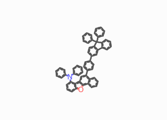 c1ccc(N(c2ccccc2)c2cccc3oc4c5ccccc5c(-c5ccc(-c6ccc7c(c6)-c6ccccc6C7(c6ccccc6)c6ccccc6)cc5)cc4c23)cc1